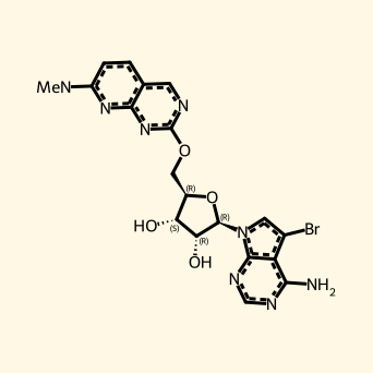 CNc1ccc2cnc(OC[C@H]3O[C@@H](n4cc(Br)c5c(N)ncnc54)[C@H](O)[C@@H]3O)nc2n1